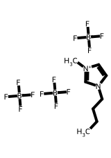 CCCCn1cc[n+](C)c1.F[B-](F)(F)F.F[B-](F)(F)F.F[B-](F)(F)F